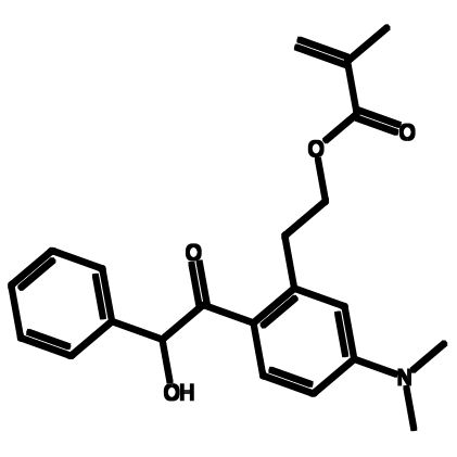 C=C(C)C(=O)OCCc1cc(N(C)C)ccc1C(=O)C(O)c1ccccc1